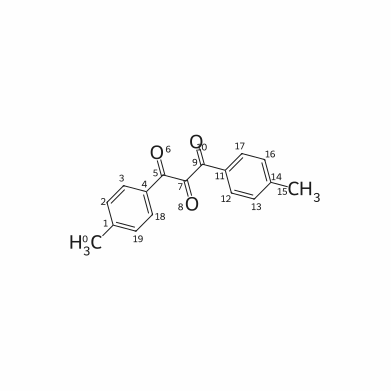 Cc1ccc(C(=O)C(=O)C(=O)c2ccc(C)cc2)cc1